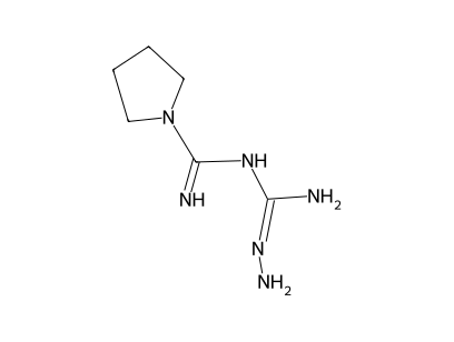 N=C(NC(N)=NN)N1CCCC1